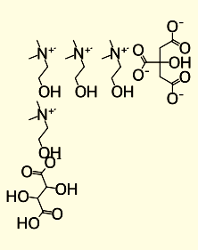 C[N+](C)(C)CCO.C[N+](C)(C)CCO.C[N+](C)(C)CCO.C[N+](C)(C)CCO.O=C([O-])C(O)C(O)C(=O)O.O=C([O-])CC(O)(CC(=O)[O-])C(=O)[O-]